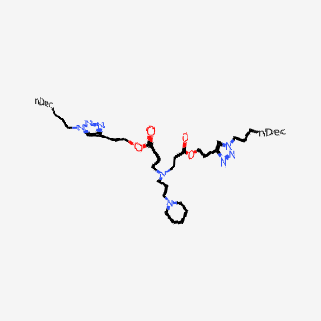 CCCCCCCCCCCCCn1cc(CCOC(=O)CCN(CCCN2CCCCC2)CCC(=O)OCCc2cn(CCCCCCCCCCCCC)nn2)nn1